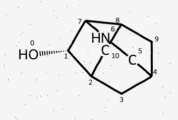 O[C@H]1C2CC3CNC1C(C3)C2